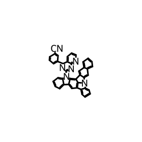 N#Cc1cccc(-c2nc(-n3c4ccccc4c4cc5c6ccccc6n6c7cc8ccccc8cc7c(c43)c56)nc3ncccc23)c1